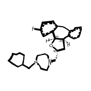 Fc1ccc2c(c1)[C@@H]1O[C@@H](CN3CCN(CC4CCCCC4)CC3)C[C@@H]1c1ccccc1C2